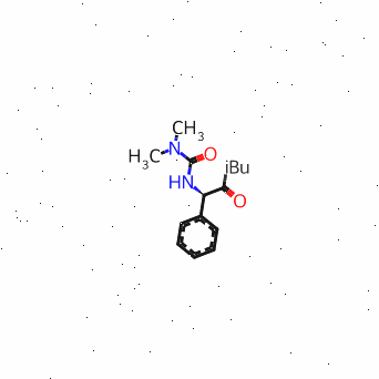 CCC(C)C(=O)[C@H](NC(=O)N(C)C)c1ccccc1